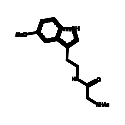 COc1ccc2[nH]cc(CCNC(=O)CNC(C)=O)c2c1